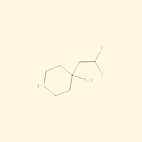 NC1(CC(F)F)CCNCC1